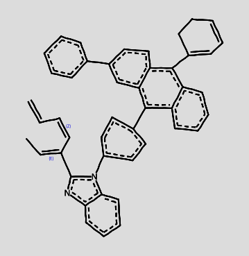 C=C/C=C\C(=C/C)c1nc2ccccc2n1-c1ccc(-c2c3ccccc3c(C3=CC=CCC3)c3ccc(-c4ccccc4)cc23)cc1